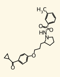 Cc1cccc(S(=O)(=O)NN2CCCC2CCCOc2ccc(C(=O)C3CC3)cc2)c1